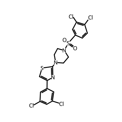 O=S(=O)(c1ccc(Cl)c(Cl)c1)N1CCN(c2nc(-c3cc(Cl)cc(Cl)c3)cs2)CC1